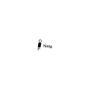 O=[P].[Na].[Ni]